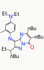 CCCCc1nc2n(c(=O)c1CCCC)N=C(C(CC)CCCC)C2=Nc1ccc(N(CC)CC)cc1C